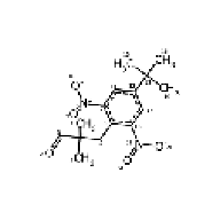 CC(C)(C=O)Cc1c([N+](=O)[O-])cc(C(C)(C)C)cc1[N+](=O)[O-]